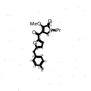 COC1=C(C(=O)c2ccc(Cc3ccc(F)cc3)o2)CN(C(C)C)C1=O